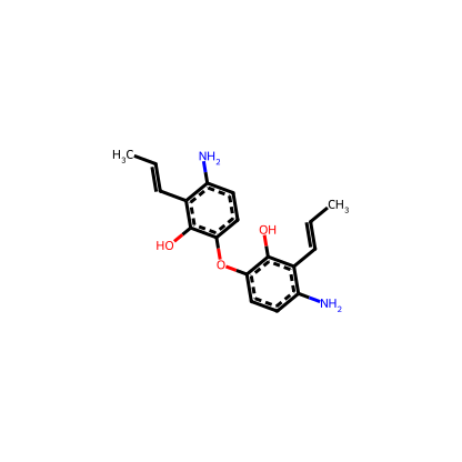 CC=Cc1c(N)ccc(Oc2ccc(N)c(C=CC)c2O)c1O